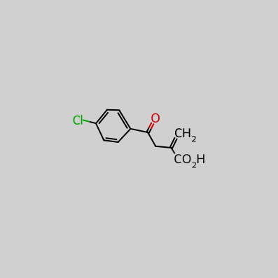 C=C(CC(=O)c1ccc(Cl)cc1)C(=O)O